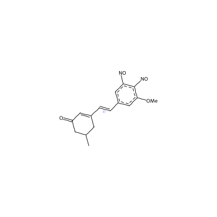 COc1cc(/C=C/C2=CC(=O)CC(C)C2)cc(N=O)c1N=O